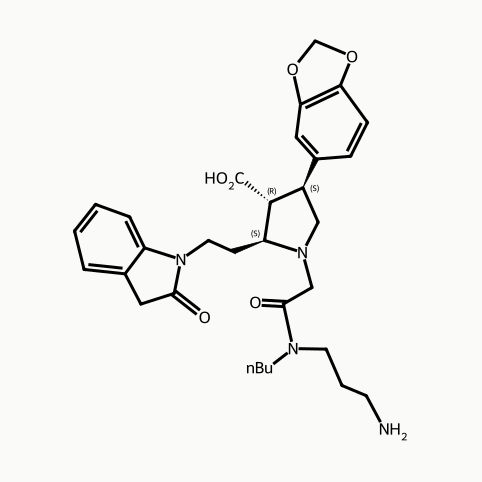 CCCCN(CCCN)C(=O)CN1C[C@H](c2ccc3c(c2)OCO3)[C@@H](C(=O)O)[C@@H]1CCN1C(=O)Cc2ccccc21